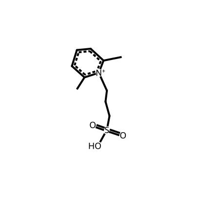 Cc1cccc(C)[n+]1CCCS(=O)(=O)O